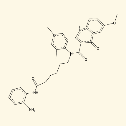 COc1ccc2[nH]cc(C(=O)N(CCCCCC(=O)Nc3ccccc3N)c3ccc(C)cc3C)c(=O)c2c1